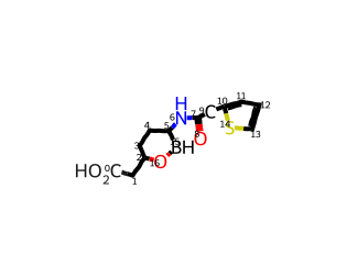 O=C(O)CC1CCC(NC(=O)Cc2cccs2)BO1